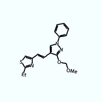 CCc1nc(C=Cc2cn(-c3ccccc3)nc2OCOC)cs1